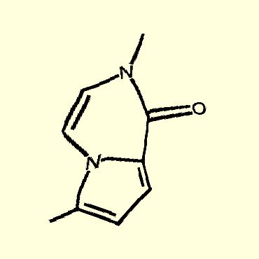 Cc1ccc2c(=O)n(C)ccn12